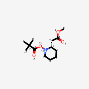 COC(=O)C[C@@H]1CCCCN1OC(=O)C(C)(C)C